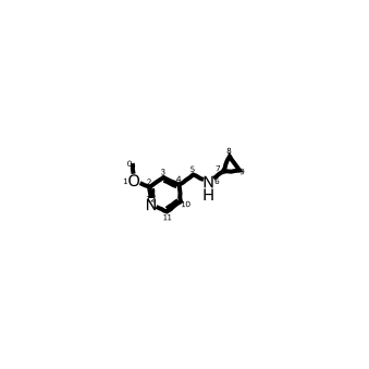 COc1cc(CNC2CC2)ccn1